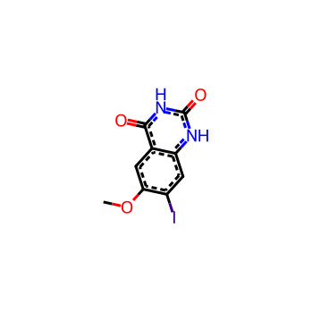 COc1cc2c(=O)[nH]c(=O)[nH]c2cc1I